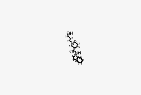 O=C(Nn1ccc2ccccc21)C1CCCN(CCCO)C1